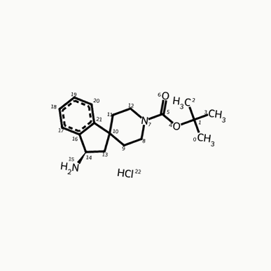 CC(C)(C)OC(=O)N1CCC2(CC1)C[C@@H](N)c1ccccc12.Cl